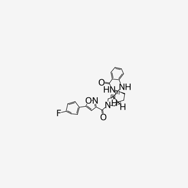 O=C1N[C@]2(CC[C@@H]3CN(C(=O)c4cc(-c5ccc(F)cc5)on4)C[C@@H]32)Nc2ccccc21